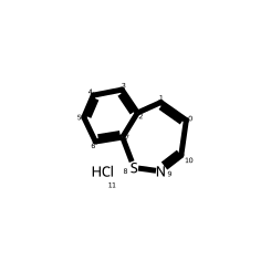 C1=Cc2ccccc2SN=C1.Cl